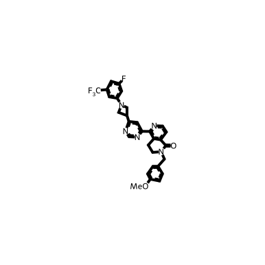 COc1ccc(CN2CCc3c(ccnc3-c3cc(C4CN(c5cc(F)cc(C(F)(F)F)c5)C4)ncn3)C2=O)cc1